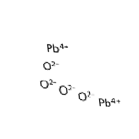 [O-2].[O-2].[O-2].[O-2].[Pb+4].[Pb+4]